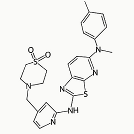 Cc1ccc(N(C)c2ccc3nc(Nc4cc(CN5CCS(=O)(=O)CC5)ccn4)sc3n2)cc1